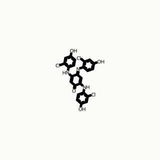 O=C1C=C(Nc2ccc(O)cc2Cl)C(=Nc2ccc(O)cc2Cl)C=C1Nc1ccc(O)cc1Cl